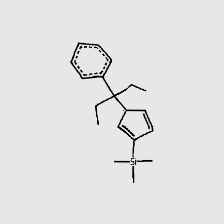 CCC(CC)([C]1C=CC([Si](C)(C)C)=C1)c1ccccc1